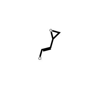 Cl/C=C/C1CO1